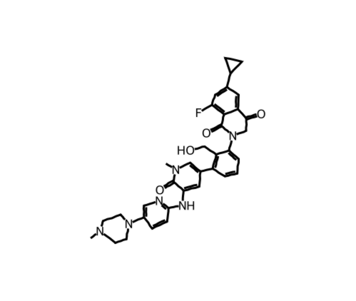 CN1CCN(c2ccc(Nc3cc(-c4cccc(N5CC(=O)c6cc(C7CC7)cc(F)c6C5=O)c4CO)cn(C)c3=O)nc2)CC1